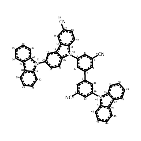 N#Cc1cc(-c2cc(C#N)cc(-n3c4ccc(C#N)cc4c4cc(-n5c6ccccc6c6ccccc65)ccc43)c2)cc(-n2c3ccccc3c3ccccc32)c1